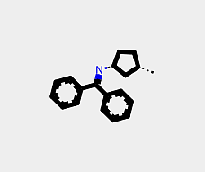 C[C@H]1CC[C@@H](N=C(c2ccccc2)c2ccccc2)C1